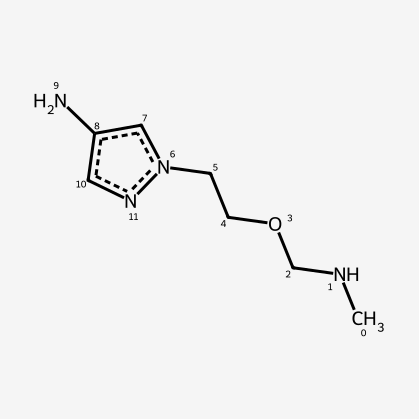 CNCOCCn1cc(N)cn1